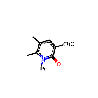 Cc1cc(C=O)c(=O)n(C(C)C)c1C